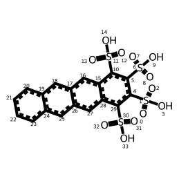 O=S(=O)(O)c1c(S(=O)(=O)O)c(S(=O)(=O)O)c2cc3cc4ccccc4cc3cc2c1S(=O)(=O)O